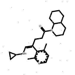 Cc1ccnc(C)c1/C(=C\NC1CC1)CCC(=O)N1CCCC2CCCCC21